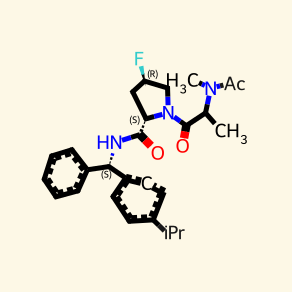 CC(=O)N(C)C(C)C(=O)N1C[C@H](F)C[C@H]1C(=O)N[C@@H](c1ccccc1)c1ccc(C(C)C)cc1